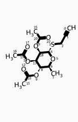 C#CCS[C@@H]1O[C@@H](C)[C@H](OC(C)=O)[C@@H](OC(C)=O)[C@H]1OC(C)=O